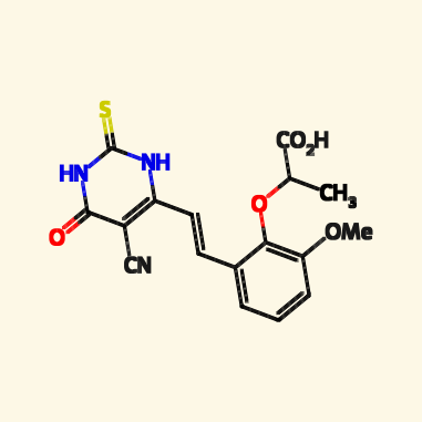 COc1cccc(C=Cc2[nH]c(=S)[nH]c(=O)c2C#N)c1OC(C)C(=O)O